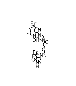 CC[C@H](C)CN1C(=O)[C@@H]2CN(C(=O)CCOC[C@H](C)Nc3cn[nH]c(=O)c3C(F)(F)F)CCN2c2ncc(C(F)(F)F)cc21